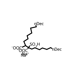 CCCCCCCCCCCCCCCCC(C(=O)[O-])C(CCCCCCCCCCCCCCCC)(C(=O)[O-])S(=O)(=O)O.[Na+].[Na+]